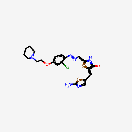 Nc1ncc(C=c2sc(=CN=Nc3ccc(OCCN4CCCCC4)cc3Cl)[nH]c2=O)s1